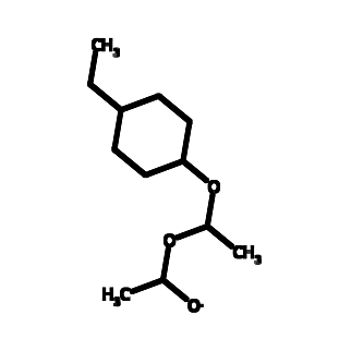 CCC1CCC(OC(C)OC(C)[O])CC1